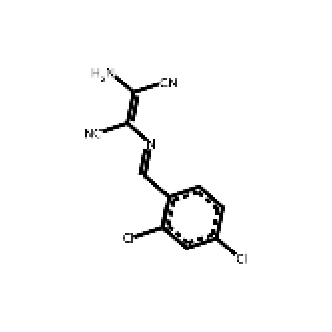 N#C/C(N)=C(C#N)\N=C\c1ccc(Cl)cc1Cl